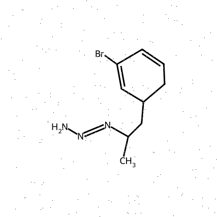 CC(CC1C=C(Br)C=CC1)N=NN